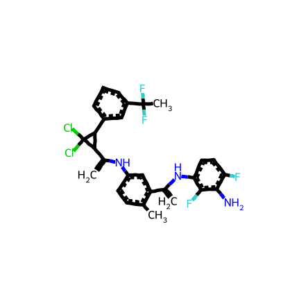 C=C(Nc1ccc(F)c(N)c1F)c1cc(NC(=C)C2C(c3cccc(C(C)(F)F)c3)C2(Cl)Cl)ccc1C